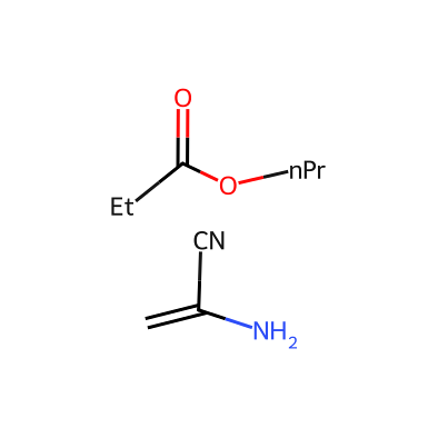 C=C(N)C#N.CCCOC(=O)CC